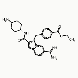 CCOC(=O)c1ccc(Cn2c(C(=O)N[C@H]3CC[C@H](N)CC3)cc3ccc(C(=N)N)cc32)cc1